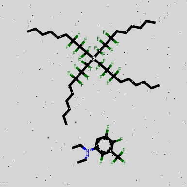 CCCCCCC(F)(F)C(F)(F)C(F)(F)[B-](C(F)(F)C(F)(F)C(F)(F)CCCCCC)(C(F)(F)C(F)(F)C(F)(F)CCCCCC)C(F)(F)C(F)(F)C(F)(F)CCCCCC.CC[NH+](CC)c1cc(F)c(F)c(C(F)(F)F)c1F